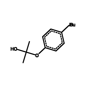 CCC(C)c1ccc(OC(C)(C)O)cc1